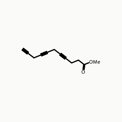 C#CCC#CCC#CCCC(=O)OC